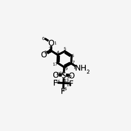 COC(=O)c1ccc(N)c(S(=O)(=O)C(F)(F)F)c1